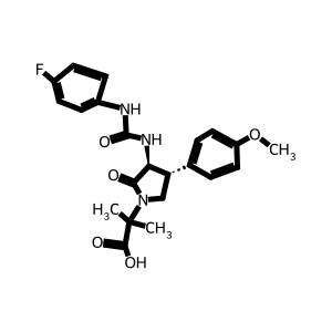 COc1ccc([C@@H]2CN(C(C)(C)C(=O)O)C(=O)[C@H]2NC(=O)Nc2ccc(F)cc2)cc1